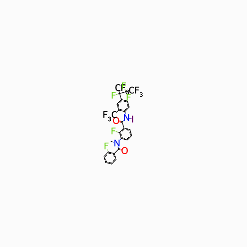 CN(C(=O)c1ccccc1F)c1cccc(C(=O)N(I)c2ccc(C(F)(C(F)(F)F)C(F)(F)C(F)(F)F)cc2C(F)(F)F)c1F